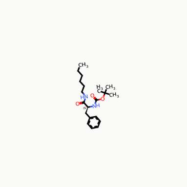 CCCCCCNC(=O)[C@H](Cc1ccccc1)NC(=O)OC(C)(C)C